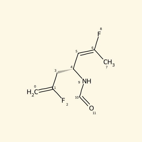 C=C(F)C[C@H](/C=C(\C)F)NC=O